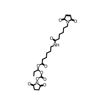 CCC(OC(=O)CCCCCNC(=O)CCCCCN1C(=O)C=CC1=O)OC(=O)ON1C(=O)CCC1=O